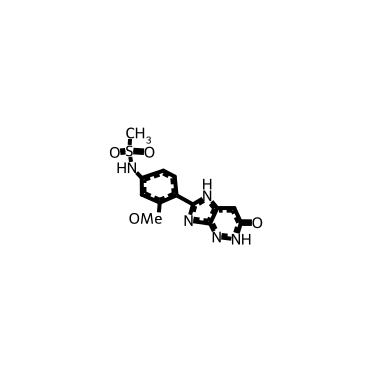 COc1cc(NS(C)(=O)=O)ccc1-c1nc2n[nH]c(=O)cc2[nH]1